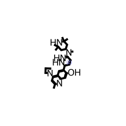 Cc1cc(N2CCC2)c2cc(C(=N)/C=C\C(=N)N(C)C3CC(C)(C)NC(C)(C)C3)c(O)cc2n1